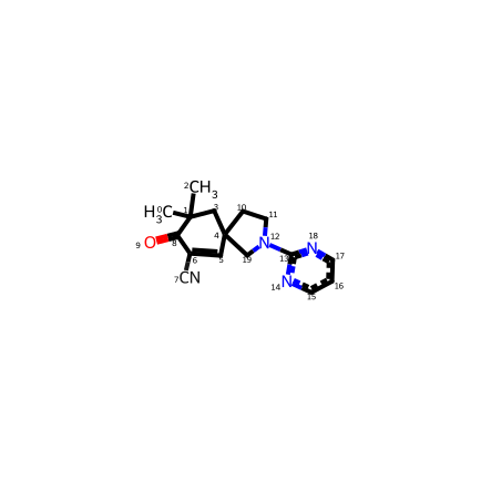 CC1(C)CC2(C=C(C#N)C1=O)CCN(c1ncccn1)C2